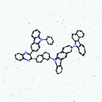 c1ccc(-n2c3ccccc3c3cc(-c4nc5ccccc5nc4-c4ccc5cc(-n6c7ccccc7c7cc8cc(-n9c%10ccccc%10c%10c%11ccccc%11ccc%109)ccc8cc76)ccc5c4)ccc32)cc1